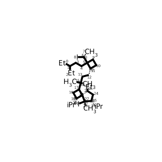 CCC(CC)CCC1([C@@H](C)I)CC[C@@H]1CCC(C)(C)C1C[C@@H](C(C)C)[C@@]12C(CC)C[C@H](C(C)C)[C@]2(C)I